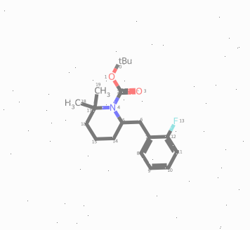 CC(C)(C)OC(=O)N1C(Cc2ccccc2F)CCCC1(C)C